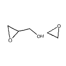 C1CO1.OCC1CO1